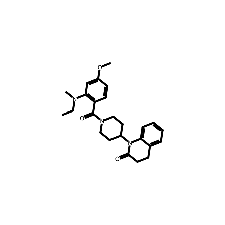 CCN(C)c1cc(OC)ccc1C(=O)N1CCC(N2C(=O)CCc3ccccc32)CC1